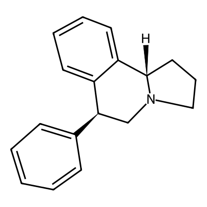 c1ccc([C@@H]2CN3CCC[C@H]3c3ccccc32)cc1